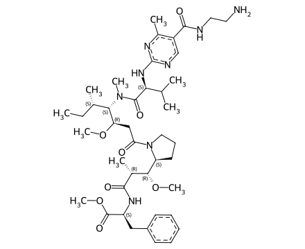 CC[C@H](C)[C@@H]([C@@H](CC(=O)N1CCC[C@H]1[C@H](OC)[C@@H](C)C(=O)N[C@@H](Cc1ccccc1)C(=O)OC)OC)N(C)C(=O)[C@@H](Nc1ncc(C(=O)NCCN)c(C)n1)C(C)C